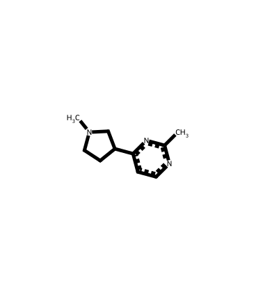 Cc1nccc(C2CCN(C)C2)n1